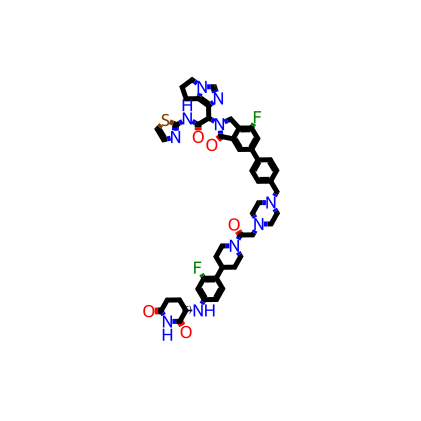 O=C1CC[C@H](Nc2ccc(C3CCN(C(=O)CN4CCN(Cc5ccc(-c6cc(F)c7c(c6)C(=O)N(C(C(=O)Nc6nccs6)c6ncn8c6CCC8)C7)cc5)CC4)CC3)c(F)c2)C(=O)N1